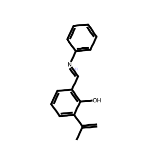 C=C(C)c1cccc(/C=N/c2ccccc2)c1O